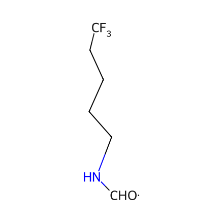 O=[C]NCCCCC(F)(F)F